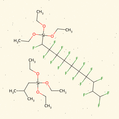 CCO[Si](CC(C)C)(OCC)OCC.CCO[Si](OCC)(OCC)C(F)C(F)(F)C(F)(F)C(F)(F)C(F)(F)C(F)(F)C(F)(F)C(F)C(F)C(F)F